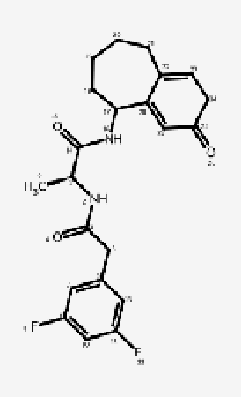 C[C@H](NC(=O)Cc1cc(F)cc(F)c1)C(=O)NC1CCCCC2=CCC(=O)C=C21